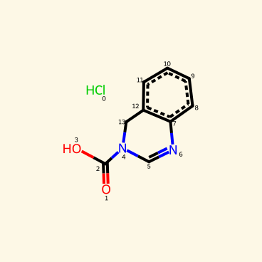 Cl.O=C(O)N1C=Nc2ccccc2C1